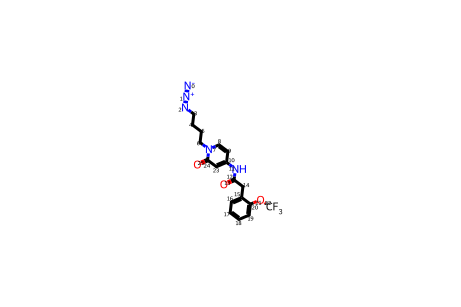 [N-]=[N+]=NCCCCn1ccc(NC(=O)Cc2ccccc2OC(F)(F)F)cc1=O